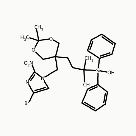 CC1(C)OCC(CCC(C)(C)[Si](O)(c2ccccc2)c2ccccc2)(Cn2cc(Br)nc2[N+](=O)[O-])CO1